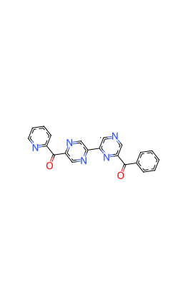 O=C(c1ccccc1)c1cn[c]c(-c2cnc(C(=O)c3ccccn3)cn2)n1